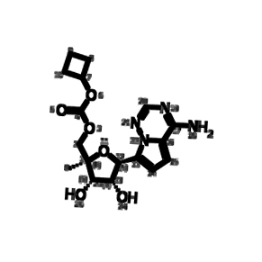 C[C@]1(COC(=O)OC2CCC2)O[C@@H](c2ccc3c(N)ncnn23)[C@H](O)[C@@H]1O